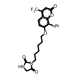 CCCc1c(OCCCCCCN2C(=O)CNC2=O)ccc2c(C(F)(F)F)cc(=O)oc12